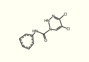 O=C(Nc1ccccc1)N1C=C(Cl)C(Cl)=NN1